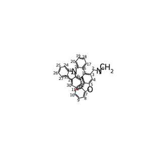 C=NCc1cc2oc3ccccc3c2cc1-c1ccccc1-n1c2ccccc2c2ccccc21